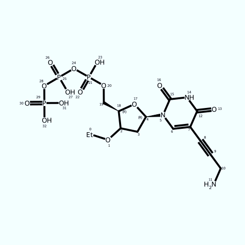 CCOC1C[C@H](n2cc(C#CCN)c(=O)[nH]c2=O)O[C@@H]1COP(=O)(O)OP(=O)(O)OP(=O)(O)O